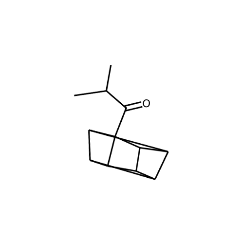 CC(C)C(=O)C12C3C4C5C3C1C5C42